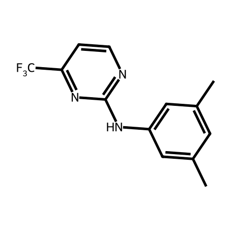 Cc1cc(C)cc(Nc2nccc(C(F)(F)F)n2)c1